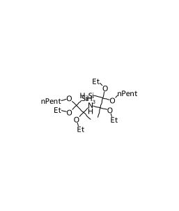 CCCCCOC([SiH3])(OCC)C(C)(NC(C)(OCC)C([SiH3])(OCC)OCCCCC)OCC